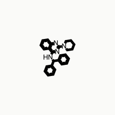 c1ccc(C(Nc2nc(N3CCCCC3)nc3ccccc23)c2ccccc2)cc1